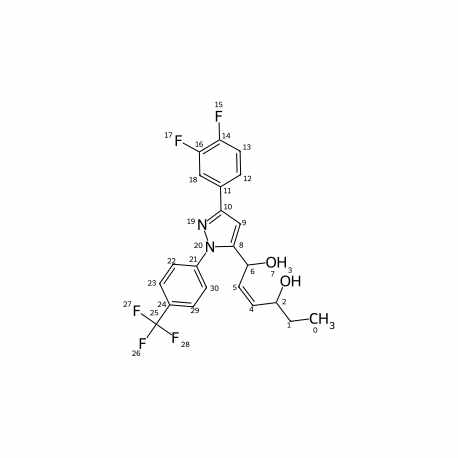 CCC(O)/C=C\C(O)c1cc(-c2ccc(F)c(F)c2)nn1-c1ccc(C(F)(F)F)cc1